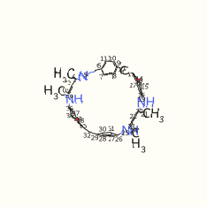 C/C1=C/C(C)=N/c2ccc(cc2)Cc2ccc(cc2)NC(C)/C=C(/C)Nc2ccc(cc2)Cc2ccc(cc2)N1